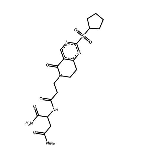 CNC(=O)CC(NC(=O)CCN1CCc2nc(S(=O)(=O)C3CCCC3)ncc2C1=O)C(N)=O